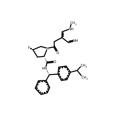 CN/C=C(\C=N)CC(=O)N1C[C@H](F)C[C@H]1C(=O)N[C@@H](c1ccccc1)c1ccc(C(C)C)cc1